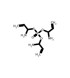 C=CC(N)OP(=O)(OC(N)C=C)SC(N)C=C